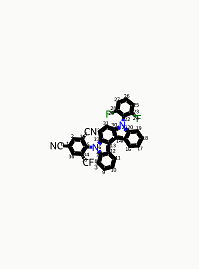 N#Cc1cc(C#N)c(-n2c3ccccc3c3c4c5ccccc5n(-c5c(F)cccc5F)c4ccc32)c(C(F)(F)F)c1